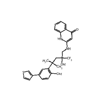 CC(C)(CC(O)(CNc1cc(=O)c2ccccc2[nH]1)C(F)(F)F)c1cc(-c2ccsc2)ccc1O